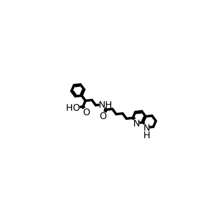 O=C(CCCCc1ccc2c(n1)NCCC2)NCCC(C(=O)O)c1ccccc1